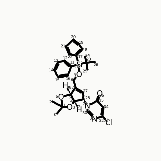 CC1(C)O[C@@H]2[C@H](O1)C(CO[Si](c1ccccc1)(c1ccccc1)C(C)(C)C)=C[C@H]2n1cnc(Cl)cc1=O